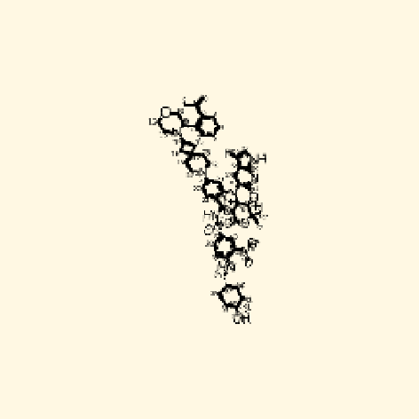 CC(C)c1ccccc1[C@@H]1COCCN1C1CC2(CCN(c3ccc(C(=O)NS(=O)(=O)c4ccc(NC[C@H]5CC[C@](C)(O)CC5)c([N+](=O)[O-])c4)c(N4c5cc6c(F)c[nH]c6nc5O[C@@H]5[C@@H]4CCOC5(C)C)c3)CC2)C1